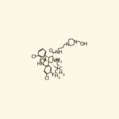 CC(C)(C)C[C@H]1N[C@@H](C(=O)NCCCN2CCN(CO)CC2)[C@H](c2cccc(Cl)c2F)[C@@]12C(=O)Nc1cc(Cl)c(F)cc12